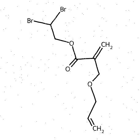 C=CCOCC(=C)C(=O)OCC(Br)Br